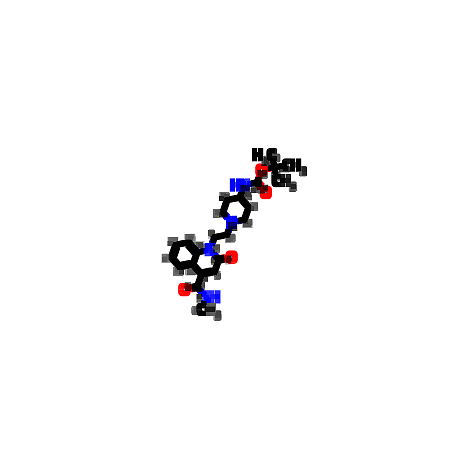 CNC(=O)c1cc(=O)n(CCN2CCC(NC(=O)OC(C)(C)C)CC2)c2ccccc12